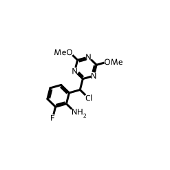 COc1nc(OC)nc(C(Cl)c2cccc(F)c2N)n1